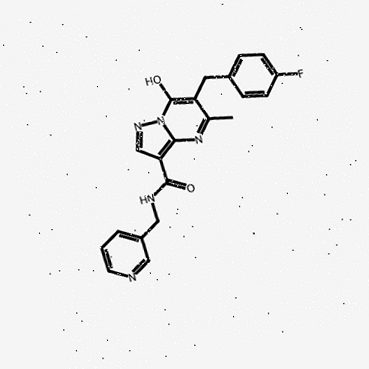 Cc1nc2c(C(=O)NCc3cccnc3)cnn2c(O)c1Cc1ccc(F)cc1